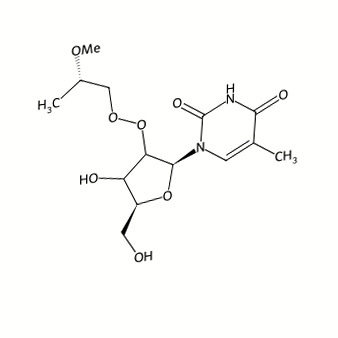 CO[C@@H](C)COOC1C(O)[C@H](CO)O[C@@H]1n1cc(C)c(=O)[nH]c1=O